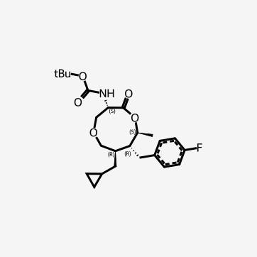 C[C@@H]1OC(=O)[C@@H](NC(=O)OC(C)(C)C)COC[C@H](CC2CC2)[C@H]1Cc1ccc(F)cc1